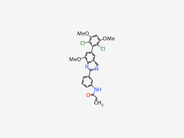 C=CC(=O)Nc1cccc(-c2ncc3cc(-c4c(Cl)c(OC)cc(OC)c4Cl)cc(OC)c3n2)c1